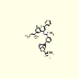 C=C(C)C1CC2/C=C\C=C(/C3=CC=CC(C(C)/N=C(\C=C(/C)C4=CC=CCC4)C4=CCCC(/C(C)=C/C)=C4)C3)C3=CC2C31